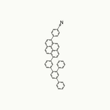 N#Cc1ccc(-c2ccc3ccc4c(-c5cccc(-c6ccc(-c7ccccc7)cc6-c6ccccc6)c5)ccc5ccc2c3c54)cc1